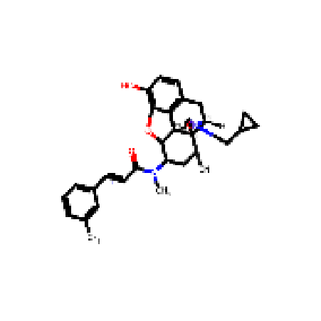 CN(C(=O)/C=C/c1cccc(C(F)(F)F)c1)C1CC[C@@]2(O)[C@H]3Cc4ccc(O)c5c4[C@@]2(CC(C#N)N3CC2CC2)C1O5